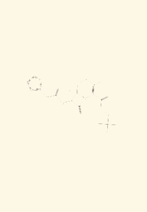 CC1=C(C(=O)OCC(Cl)(Cl)Cl)N2C(=O)C(NC(=O)Cc3cccs3)[C@H]2SC1